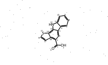 O=C(O)c1cc2c3ccccc3[nH]c2c2sccc12